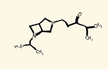 CC(C)C(=O)CCN1CC2CN(C(C)C)C2C1